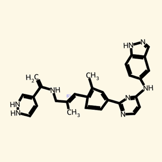 C=C(NC/C(C)=C/c1ccc(-c2nccc(Nc3ccc4[nH]ncc4c3)n2)cc1C)C1=CNNC=C1